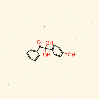 O=C(c1ccccc1)C(O)(O)c1ccc(O)cc1